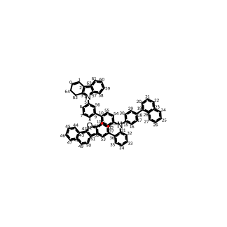 C1=Cc2c(n(-c3cccc(-c4ccc(N(c5ccc(-c6cccc7ccccc67)cc5)c5ccccc5-c5ccc6oc7c8ccccc8ccc7c6c5)cc4)c3)c3ccccc23)CC1